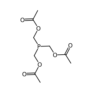 CC(=O)OCP(COC(C)=O)COC(C)=O